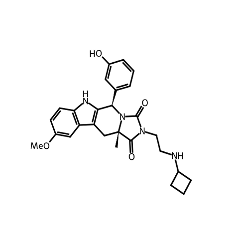 COc1ccc2[nH]c3c(c2c1)C[C@@]1(C)C(=O)N(CCNC2CCC2)C(=O)N1[C@@H]3c1cccc(O)c1